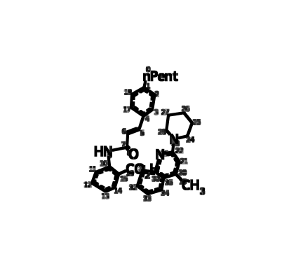 CCCCCc1ccc(C=CC(=O)Nc2ccccc2C(=O)O)cc1.Cc1cc(N2CCCCC2)nc2ccccc12